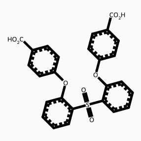 O=C(O)c1ccc(Oc2ccccc2S(=O)(=O)c2ccccc2Oc2ccc(C(=O)O)cc2)cc1